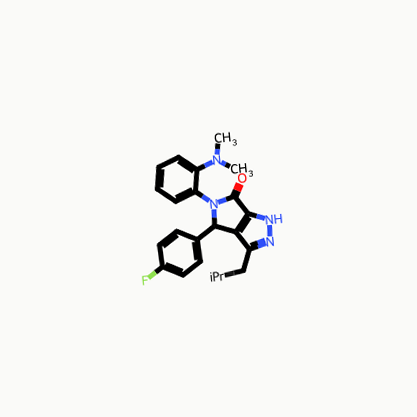 CC(C)Cc1n[nH]c2c1C(c1ccc(F)cc1)N(c1ccccc1N(C)C)C2=O